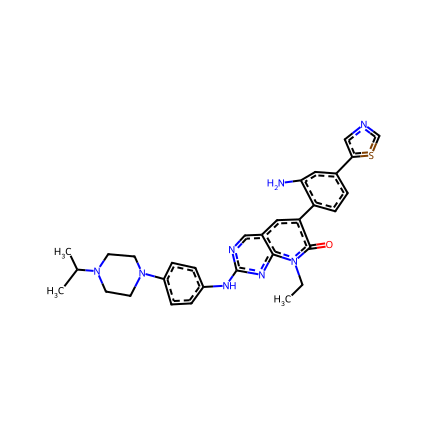 CCn1c(=O)c(-c2ccc(-c3cncs3)cc2N)cc2cnc(Nc3ccc(N4CCN(C(C)C)CC4)cc3)nc21